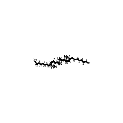 CCCCCCCCc1ccc(-c2cnc(-c3ccc(CCCCCCCC)nn3)cn2)nn1